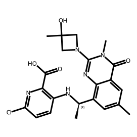 Cc1cc([C@@H](C)Nc2ccc(Cl)nc2C(=O)O)c2nc(N3CC(C)(O)C3)n(C)c(=O)c2c1